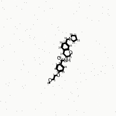 COCCOc1ccc(C(=O)N[C@H]2COc3cc(CN4CCCC4)ccc3C2)cc1